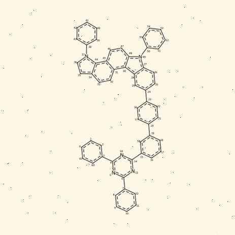 c1ccc(-c2nc(-c3ccccc3)nc(-c3cccc(-c4ccc(-c5ccc6c(c5)c5c7ccc8ccn(-c9ccccc9)c8c7ccc5n6-c5ccccc5)cc4)c3)n2)cc1